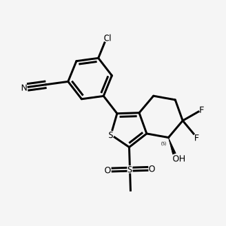 CS(=O)(=O)c1sc(-c2cc(Cl)cc(C#N)c2)c2c1[C@H](O)C(F)(F)CC2